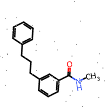 CNC(=O)c1cccc(CCCc2ccccc2)c1